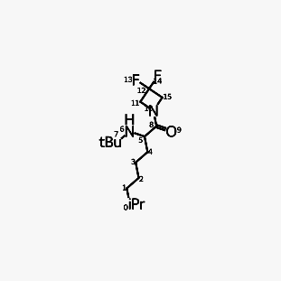 CC(C)CCCCC(NC(C)(C)C)C(=O)N1CC(F)(F)C1